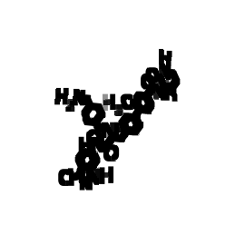 Cc1cc(C(=O)N[C@H]2CCCNC2=O)ccc1-c1ccc(CC(NC(=O)C2CCC(CN)CC2)C(=O)Nc2ccc3c(Cl)n[nH]c3c2)cc1